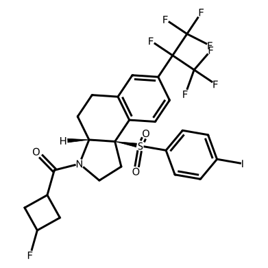 O=C(C1CC(F)C1)N1CC[C@@]2(S(=O)(=O)c3ccc(I)cc3)c3ccc(C(F)(C(F)(F)F)C(F)(F)F)cc3CC[C@@H]12